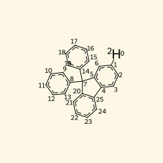 [2H]c1ccc2c(c1)C(c1ccccc1)(c1ccccc1)c1ccccc1-2